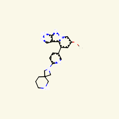 CCOc1cc(-c2ccc(N3CC4(CCCNC4)C3)nc2)c2c3cn[nH]c3nn2c1